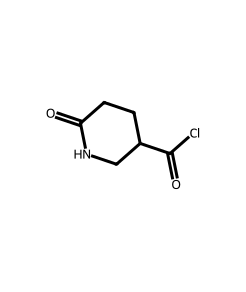 O=C1CCC(C(=O)Cl)CN1